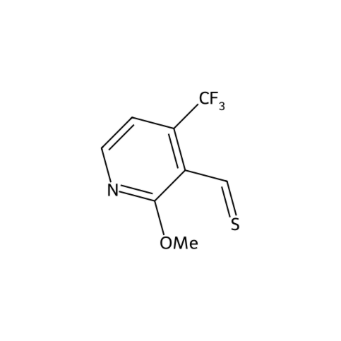 COc1nccc(C(F)(F)F)c1C=S